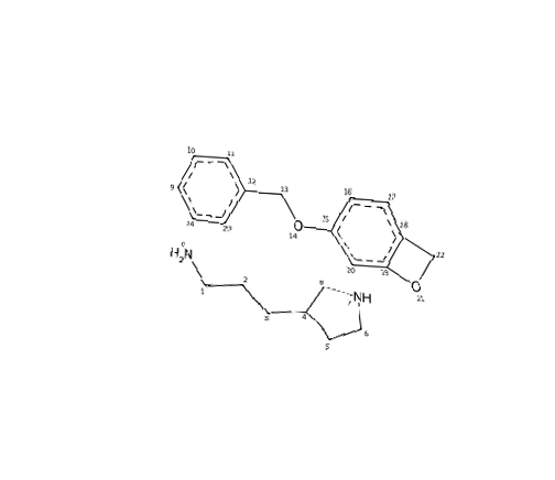 NCCCC1CCNC1.c1ccc(COc2ccc3c(c2)OC3)cc1